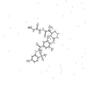 CCS(=O)(=O)c1ccc(Cl)cc1CNC(=O)c1cc(Cl)c(CN2CCC[C@H](N(C)C(=O)CNC(=O)OC(C)(C)C)C2)c(C(F)(F)F)c1